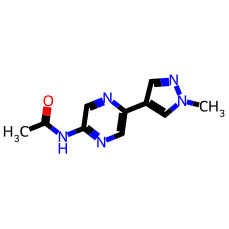 CC(=O)Nc1cnc(-c2cnn(C)c2)cn1